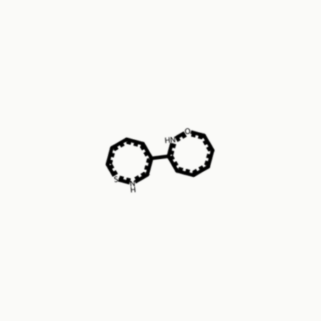 [c]1[nH]sccccc1-c1ccccco[nH]1